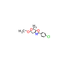 CCOC(=O)Cc1nc(-c2ccc(Cl)cc2)oc1C